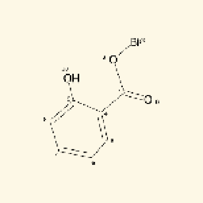 O=C([O][Bi])c1ccccc1O